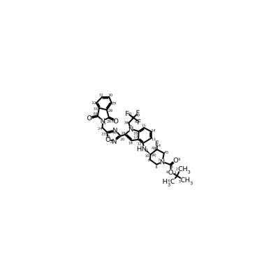 CC(C)(C)OC(=O)N1CC[C@@H](Nc2cccc3c2cc(-c2noc(CN4C(=O)c5ccccc5C4=O)n2)n3CC(F)(F)F)[C@@H](F)C1